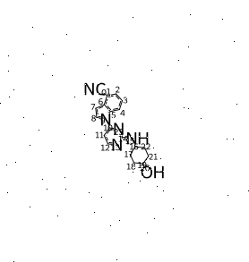 N#Cc1cccc2c1ccn2-c1ccnc(NC2CCC(O)CC2)n1